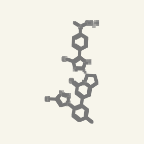 Cc1ccc(-n2cc(Cl)nn2)c(-c2cc3n(c(=O)c2)[C@H](c2nc(Cl)c(-c4ccc(N(C)C(=O)O)cc4)[nH]2)CC3)c1